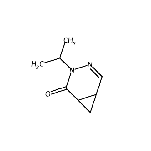 CC(C)N1N=CC2CC2C1=O